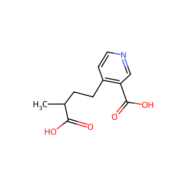 CC(CCc1ccncc1C(=O)O)C(=O)O